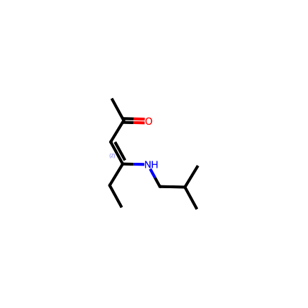 CC/C(=C/C(C)=O)NCC(C)C